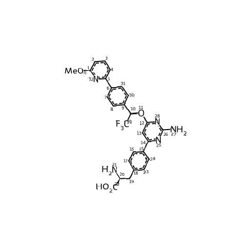 COc1cccc(-c2ccc(C(Oc3cc(-c4ccc(C[C@H](N)C(=O)O)cc4)nc(N)n3)C(F)(F)F)cc2)n1